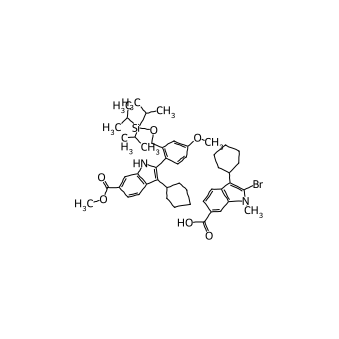 COC(=O)c1ccc2c(C3CCCCC3)c(-c3ccc(OC)cc3CO[Si](C(C)C)(C(C)C)C(C)C)[nH]c2c1.Cn1c(Br)c(C2CCCCC2)c2ccc(C(=O)O)cc21